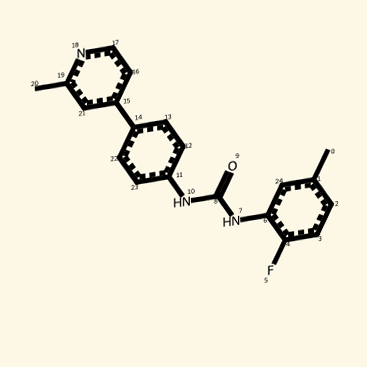 Cc1ccc(F)c(NC(=O)Nc2ccc(-c3ccnc(C)c3)cc2)c1